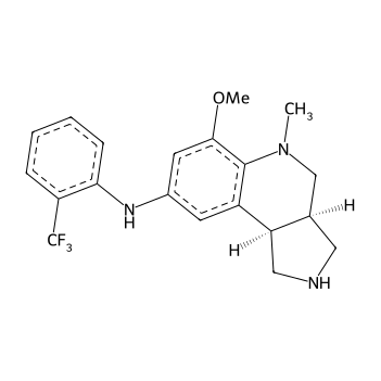 COc1cc(Nc2ccccc2C(F)(F)F)cc2c1N(C)C[C@H]1CNC[C@@H]21